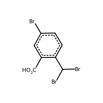 O=C(O)c1cc(Br)ccc1C(Br)Br